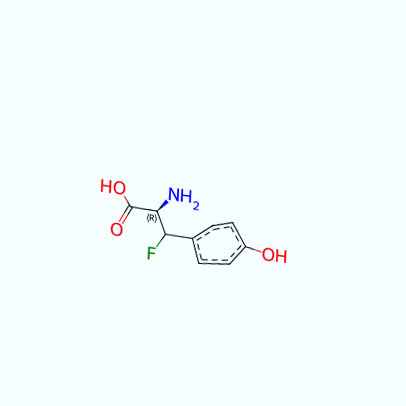 N[C@H](C(=O)O)C(F)c1ccc(O)cc1